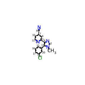 Cn1cnc(-c2cc(C#N)ccn2)c1-c1cccc(Cl)c1